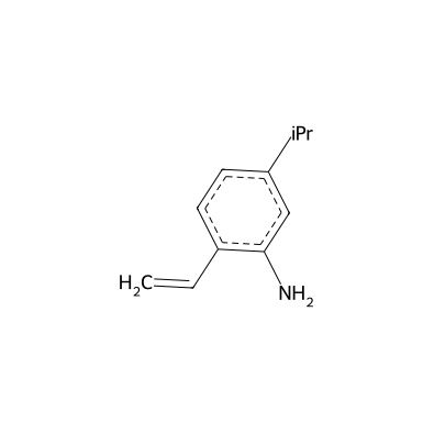 C=Cc1ccc(C(C)C)cc1N